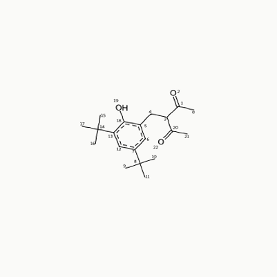 CC(=O)C(Cc1cc(C(C)(C)C)cc(C(C)(C)C)c1O)C(C)=O